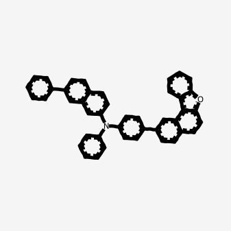 c1ccc(-c2ccc3ccc(N(c4ccccc4)c4ccc(-c5ccc6ccc7oc8ccccc8c7c6c5)cc4)cc3c2)cc1